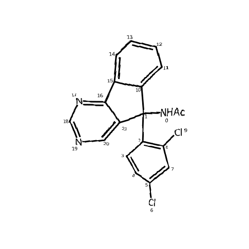 CC(=O)NC1(c2ccc(Cl)cc2Cl)c2ccccc2-c2ncncc21